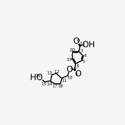 O=C(O)c1ccc(C(=O)OCC2CCC(CO)CC2)cc1